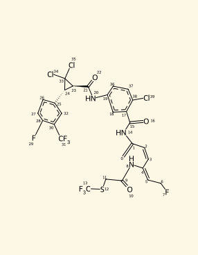 C=C(/C=C\C(=C/CF)NC(=O)CSC(F)(F)F)NC(=O)c1cc(NC(=O)[C@H]2[C@H](c3ccc(F)c(C(F)(F)F)c3)C2(Cl)Cl)ccc1Cl